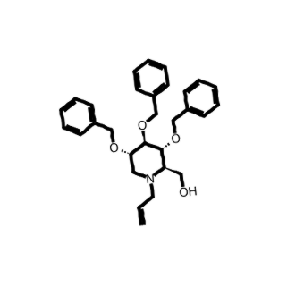 C=CCN1C[C@H](OCc2ccccc2)[C@@H](OCc2ccccc2)[C@H](OCc2ccccc2)[C@H]1CO